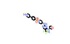 O=S(=O)(c1ccc(C2=CCNCC2)cc1)N1CCC(Nc2ncc(C(F)(F)F)c(N[C@H]3CCOC3)n2)CC1